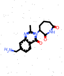 Cc1nc2cc(CN)ccc2c(=O)n1C1CCCC(=O)NC1=O